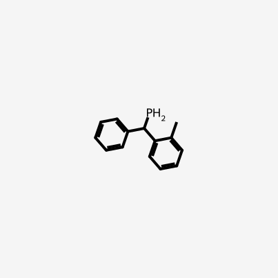 Cc1ccccc1C(P)c1ccccc1